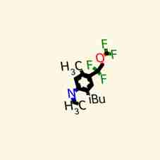 C/C=N\c1cc(C)c(C(F)(F)COC(F)F)cc1C(C)CC